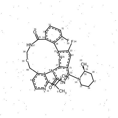 CC(C)c1nccc2c1-n1c(=O)nc(N3CCCC[C@@H]3C)c3cc(F)c(nc31)-c1c(F)cccc1C(=O)NCCC2